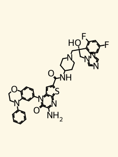 Nc1nc2sc(C(=O)NC3CCN(C[C@@](O)(Cn4cncn4)c4ccc(F)cc4F)CC3)cc2n(-c2ccc3c(c2)N(c2ccccc2)CCO3)c1=O